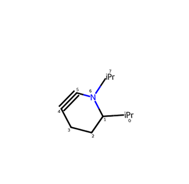 CC(C)C1CCC#CN1C(C)C